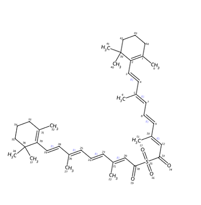 CC1=C(/C=C/C(C)=C/C=C/C(C)=C/C(=O)S(=O)(=O)C(=O)/C=C(C)/C=C/C=C(C)/C=C/C2=C(C)CCCC2(C)C)C(C)(C)CCC1